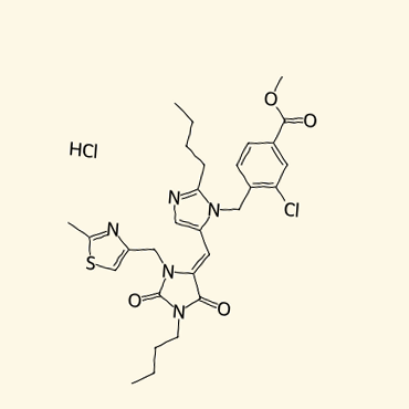 CCCCc1ncc(C=C2C(=O)N(CCCC)C(=O)N2Cc2csc(C)n2)n1Cc1ccc(C(=O)OC)cc1Cl.Cl